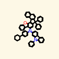 c1ccc(-n2c3ccccc3c3ccc(N(c4ccc(C5CCCCC5)cc4)c4cc5c(c6oc7ccccc7c46)-c4c(ccc6ccccc46)C5(c4ccccc4)c4ccccc4)cc32)cc1